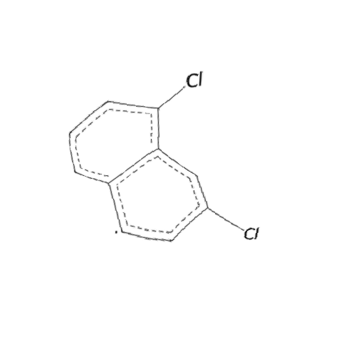 Clc1c[c]c2cccc(Cl)c2c1